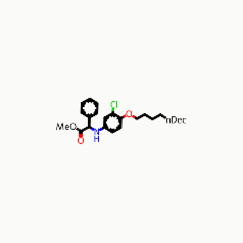 CCCCCCCCCCCCCCOc1ccc(NC(C(=O)OC)c2ccccc2)cc1Cl